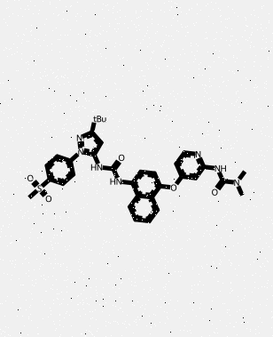 CN(C)C(=O)Nc1cc(Oc2ccc(NC(=O)Nc3cc(C(C)(C)C)nn3-c3ccc(S(C)(=O)=O)cc3)c3ccccc23)ccn1